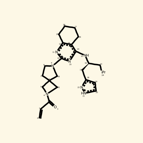 C=CC(=O)N1CC2(CCN(c3nc4c(c(N[C@H](Cc5cc[nH]n5)CC(C)C)n3)CCCC4)C2)C1